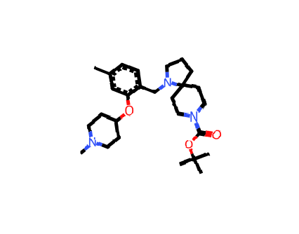 Cc1ccc(CN2CCCC23CCN(C(=O)OC(C)(C)C)CC3)c(OC2CCN(C)CC2)c1